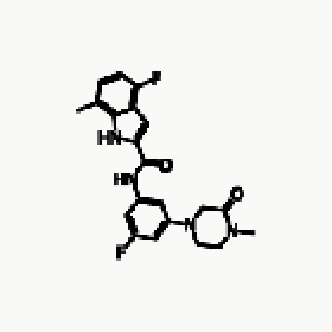 Cc1ccc(F)c2cc(C(=O)Nc3cc(F)cc(N4CCN(C)C(=O)C4)c3)[nH]c12